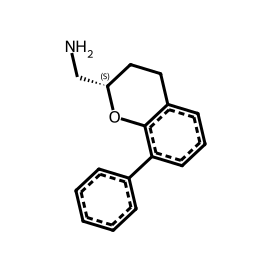 NC[C@@H]1CCc2cccc(-c3ccccc3)c2O1